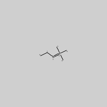 CCN=P(C)(C)C